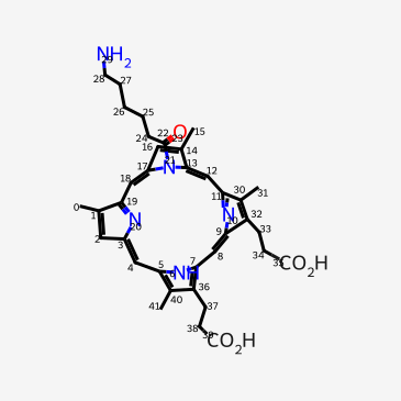 CC1=Cc2cc3[nH]c(cc4nc(cc5c(C)cc(cc1n2)n5C(=O)CCCCCN)C(C)=C4CCC(=O)O)c(CCC(=O)O)c3C